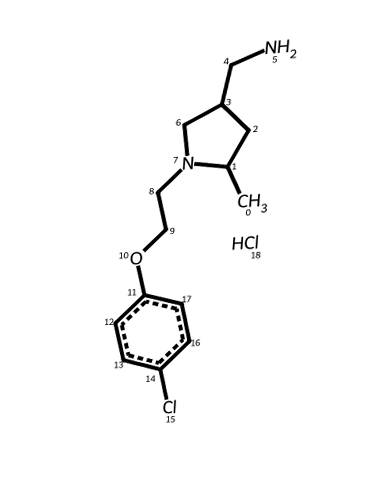 CC1CC(CN)CN1CCOc1ccc(Cl)cc1.Cl